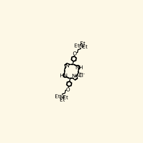 CC[N+](CC)(CC)CCCOc1ccc(-c2c3nc(cc4ccc([nH]4)c(-c4ccc(OCCC[N+](CC)(CC)CC)cc4)c4nc(cc5ccc2[nH]5)C=C4)C=C3)cc1.[Cl-].[Cl-]